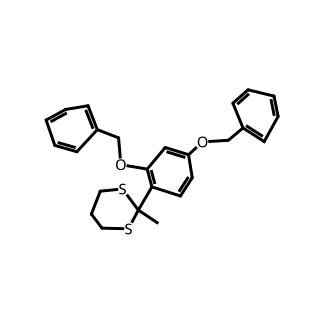 CC1(c2ccc(OCc3ccccc3)cc2OCc2ccccc2)SCCCS1